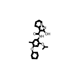 Cc1cc(NC(=O)c2c(O)nn3ccccc23)c(OC(C)C)cc1Oc1ccccc1